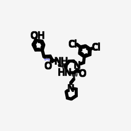 O=C(/C=C/c1ccc(O)cc1)NC[C@@H]1CCN(Cc2cc(Cl)cc(Cl)c2)C(=O)[C@H](CCN2CCCCC2)N1